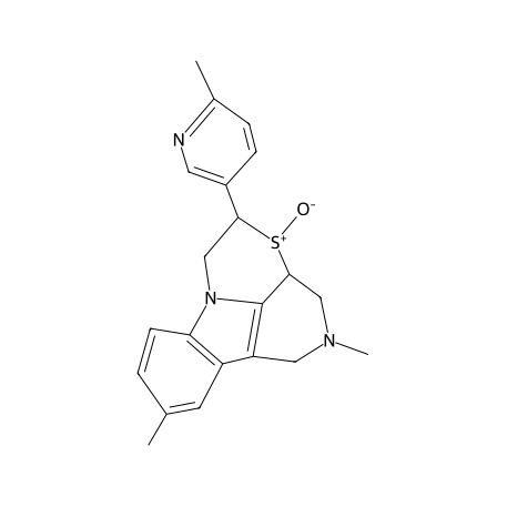 Cc1ccc2c(c1)c1c3n2CC(c2ccc(C)nc2)[S+]([O-])C3CN(C)C1